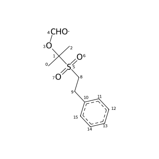 CC(C)(O[C]=O)S(=O)(=O)CCc1ccccc1